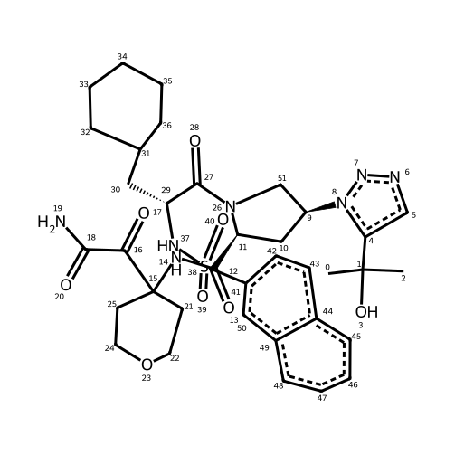 CC(C)(O)c1cnnn1[C@H]1C[C@@H](C(=O)NC2(C(=O)C(N)=O)CCOCC2)N(C(=O)[C@@H](CC2CCCCC2)NS(=O)(=O)c2ccc3ccccc3c2)C1